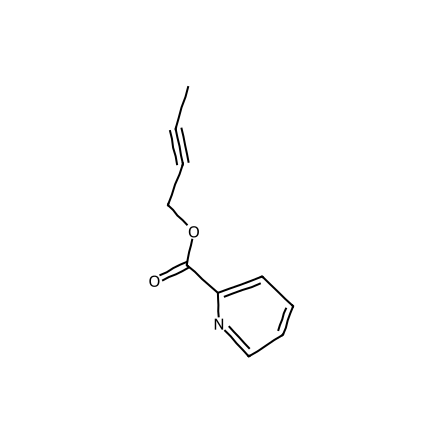 CC#CCOC(=O)c1ccccn1